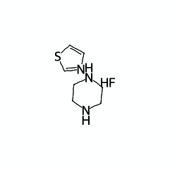 C1CNCCN1.F.c1cscn1